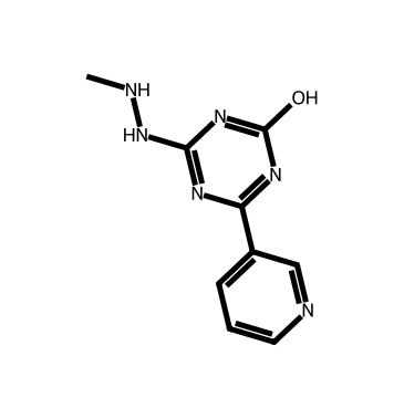 CNNc1nc(O)nc(-c2cccnc2)n1